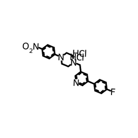 Cl.Cl.O=[N+]([O-])c1ccc(N2CCN(Cc3cncc(-c4ccc(F)cc4)c3)CC2)cc1